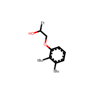 CCC(O)COc1cccc(C(C)(C)C)c1C(C)(C)C